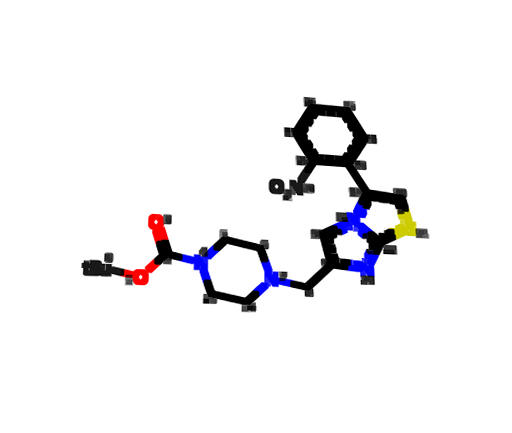 CC(C)(C)OC(=O)N1CCN(Cc2cn3c(-c4ccccc4[N+](=O)[O-])csc3n2)CC1